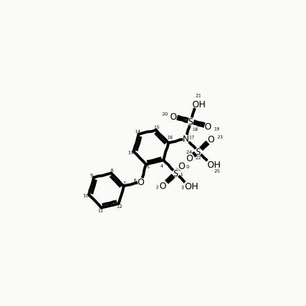 O=S(=O)(O)c1c(Oc2ccccc2)cccc1N(S(=O)(=O)O)S(=O)(=O)O